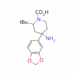 CC(C)(C)C1CC(N)(c2ccc3c(c2)OCO3)CCN1C(=O)O